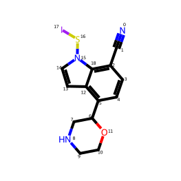 N#Cc1ccc(C2CNCCO2)c2ccn(SI)c12